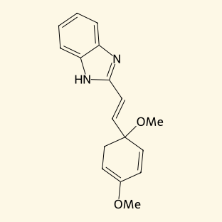 COC1=CCC(C=Cc2nc3ccccc3[nH]2)(OC)C=C1